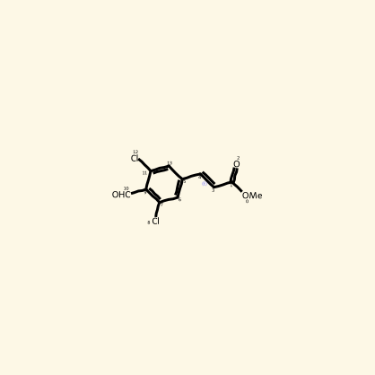 COC(=O)/C=C/c1cc(Cl)c(C=O)c(Cl)c1